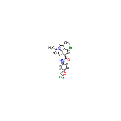 CC1CN(C(C)C)c2cc(C(=O)Nc3ccc(OC(F)(F)Cl)cc3)cc(Br)c21